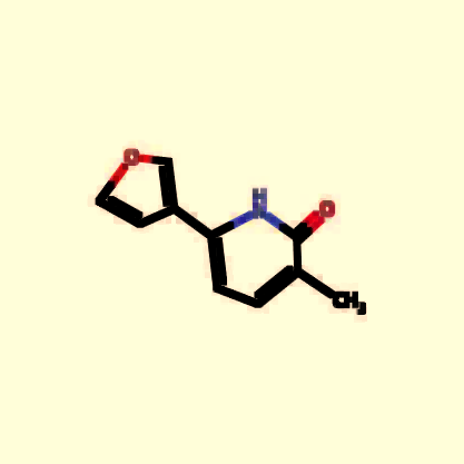 Cc1ccc(-c2ccoc2)[nH]c1=O